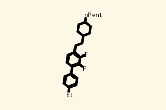 CCCCCC1CCC(CCc2ccc(-c3ccc(CC)cc3)c(F)c2F)CC1